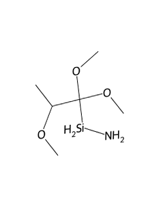 COC(C)C(OC)(OC)[SiH2]N